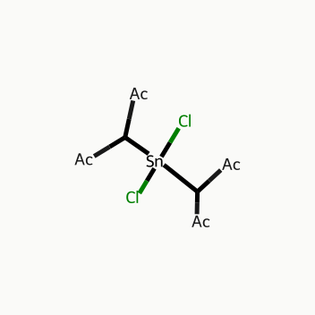 CC(=O)[CH](C(C)=O)[Sn]([Cl])([Cl])[CH](C(C)=O)C(C)=O